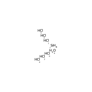 Cl.Cl.Cl.Cl.Cl.Cl.O.[SiH4]